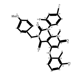 COc1ccc(Cn2c(=O)c3c(Oc4cccc(Cl)c4C)cc(=O)n(C)c3n(-c3ccc(I)cc3F)c2=O)cc1